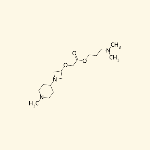 CN(C)CCCOC(=O)COC1CN(C2CCN(C)CC2)C1